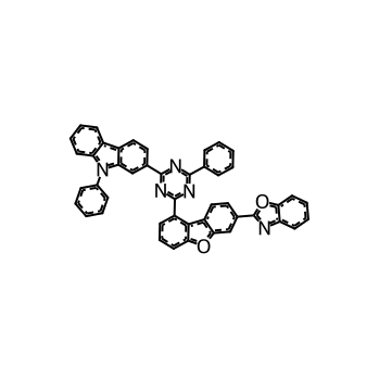 c1ccc(-c2nc(-c3ccc4c5ccccc5n(-c5ccccc5)c4c3)nc(-c3cccc4oc5cc(-c6nc7ccccc7o6)ccc5c34)n2)cc1